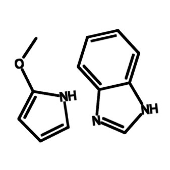 COc1ccc[nH]1.c1ccc2[nH]cnc2c1